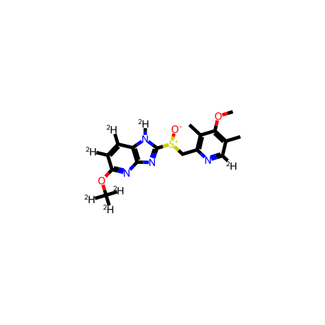 [2H]c1nc(C[S+]([O-])c2nc3nc(OC([2H])([2H])[2H])c([2H])c([2H])c3n2[2H])c(C)c(OC)c1C